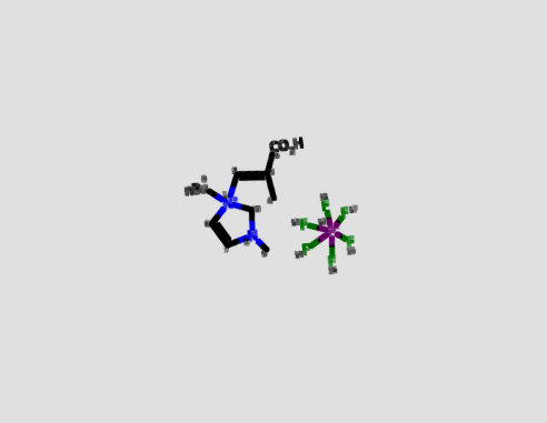 CCCC[N+]1(C=C(C)C(=O)O)C=CN(C)C1.F[P-](F)(F)(F)(F)F